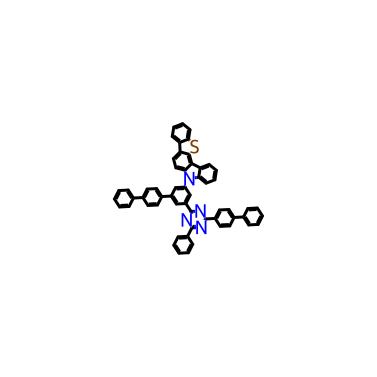 c1ccc(-c2ccc(-c3cc(-c4nc(-c5ccccc5)nc(-c5ccc(-c6ccccc6)cc5)n4)cc(-n4c5ccccc5c5c6sc7ccccc7c6ccc54)c3)cc2)cc1